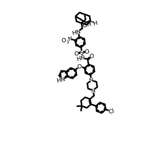 CC1(C)CCC(CN2CCN(c3ccc(C(=O)NS(=O)(=O)c4ccc(NCC56CC7CC(C5)C(O)[C@H](C7)C6)c([N+](=O)[O-])c4)c(Oc4ccc5[nH]ccc5c4)c3)CC2)=C(c2ccc(Cl)cc2)C1